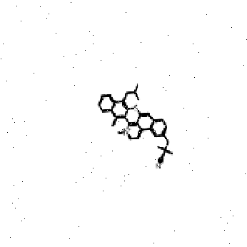 Cc1c2c(c(CC(C)C)c3ccccc13)Sc1cc3ccc(CC(C)(C)C#N)cc3c3cc[n+](C)c-2c13